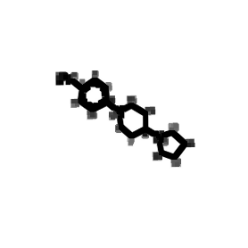 CC(C)c1ccc(N2CCC(N3CCCC3)CC2)cc1